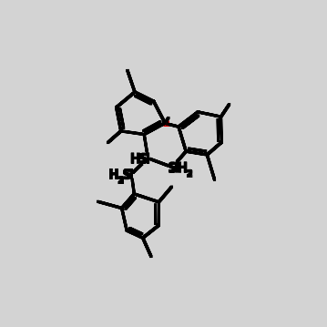 Cc1cc(C)c([SiH2][SiH]([SiH2]c2c(C)cc(C)cc2C)c2c(C)cc(C)cc2C)c(C)c1